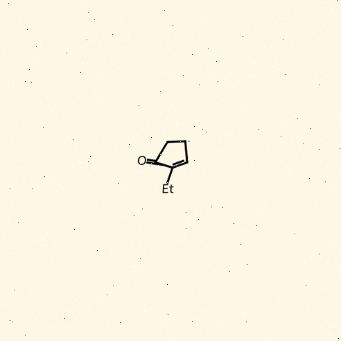 CCC1=C[CH]CC1=O